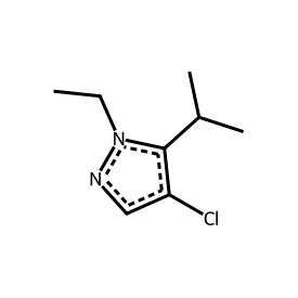 CCn1ncc(Cl)c1C(C)C